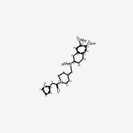 CCCN(CC1CCN(C(=O)Cc2cccs2)CC1)C1CCc2cc(OC)c(OC)cc2C1